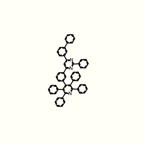 c1ccc(-c2cccc(-c3cc(-c4cccc(-c5c(-c6ccccc6)c(-c6ccccc6)nc(-c6ccccc6)c5-c5ccccc5)c4)nc(-c4ccccc4)n3)c2)cc1